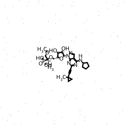 COCC(C)(OC[C@H]1O[C@@H](n2ncc3c(NC4CCCC4)nc(C#CC4(C)CC4)nc32)[C@H](O)[C@@H]1O)P(=O)(O)O